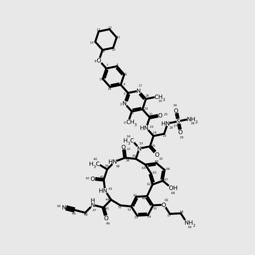 Cc1nc(-c2ccc(OC3CCCCC3)cc2)nc(C)c1C(=O)NC(CNS(N)(=O)=O)C(=O)N(C)C1C(=O)NC(C)C(=O)NC(C(=O)NCC#N)Cc2ccc(OCCN)c(c2)-c2cc1ccc2O